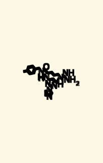 Cc1ccc(CNC(=O)C(CCCNC(=N)N)Nc2cc(Cl)nc(-n3ccnc3)n2)cc1